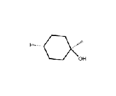 C[C@]1(O)CC[C@H](I)CC1